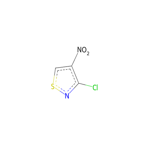 O=[N+]([O-])c1csnc1Cl